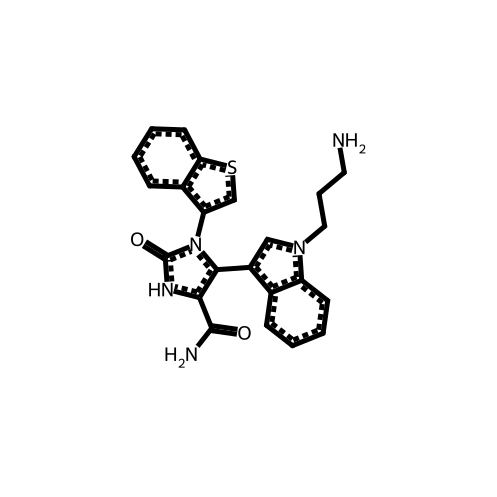 NCCCn1cc(-c2c(C(N)=O)[nH]c(=O)n2-c2csc3ccccc23)c2ccccc21